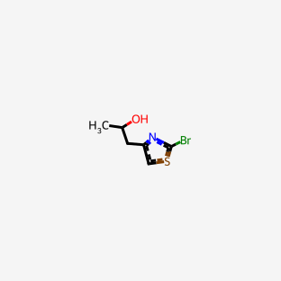 CC(O)Cc1csc(Br)n1